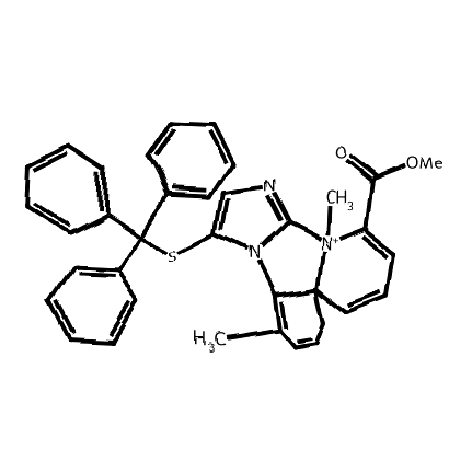 COC(=O)C1=CC=CC23CC=CC(C)=C2n2c(SC(c4ccccc4)(c4ccccc4)c4ccccc4)cnc2[N+]13C